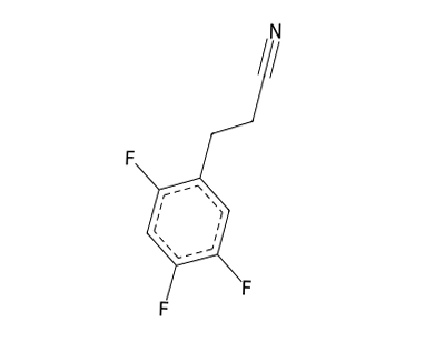 N#CCCc1cc(F)c(F)cc1F